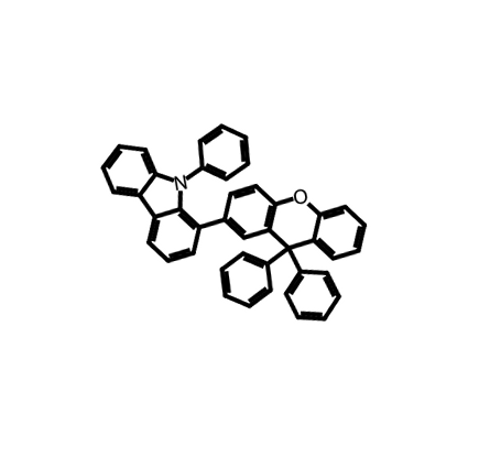 c1ccc(-n2c3ccccc3c3cccc(-c4ccc5c(c4)C(c4ccccc4)(c4ccccc4)c4ccccc4O5)c32)cc1